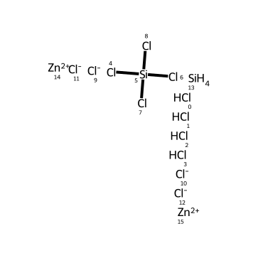 Cl.Cl.Cl.Cl.Cl[Si](Cl)(Cl)Cl.[Cl-].[Cl-].[Cl-].[Cl-].[SiH4].[Zn+2].[Zn+2]